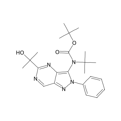 CC(C)(C)OC(=O)N(c1c2nc(C(C)(C)O)ncc2nn1-c1ccccc1)C(C)(C)C